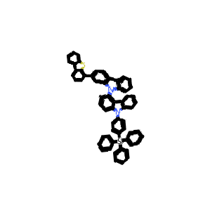 c1ccc([Si](c2ccccc2)(c2ccccc2)c2ccc(-n3c4ccccc4c4c(-n5c6ccccc6c6ccc(-c7cccc8c7sc7ccccc78)cc65)cccc43)cc2)cc1